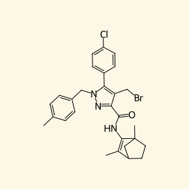 CC1=C(NC(=O)c2nn(Cc3ccc(C)cc3)c(-c3ccc(Cl)cc3)c2CBr)C2(C)CCC1C2